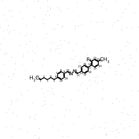 C=CCCCCc1ccc(C=NN=Cc2ccc(-c3ccc(C)cc3F)cc2)cc1